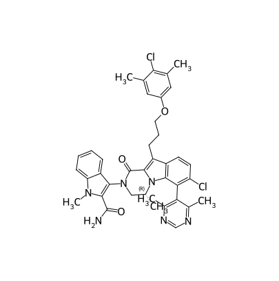 Cc1cc(OCCCc2c3n(c4c(-c5c(C)ncnc5C)c(Cl)ccc24)[C@H](C)CN(c2c(C(N)=O)n(C)c4ccccc24)C3=O)cc(C)c1Cl